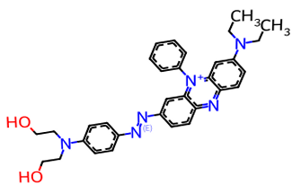 CCN(CC)c1ccc2nc3ccc(/N=N/c4ccc(N(CCO)CCO)cc4)cc3[n+](-c3ccccc3)c2c1